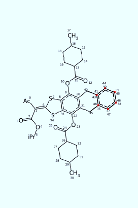 CC(=O)C(C(=O)OC(C)C)=C1Sc2c(OC(=O)C3CCC(C)CC3)c3c(c(OC(=O)C4CCC(C)CC4)c2S1)C1c2ccccc2C3c2ccccc21